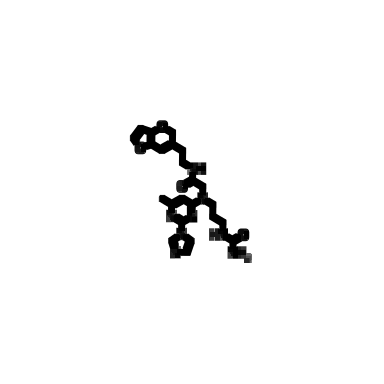 Cc1cc(N(CCCNC(N)=O)CC(=O)NCCC2=Cc3occc3OC2)nc(-n2ccnc2)n1